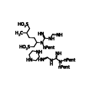 C1CNCCN1.CCCCCN(C(=N)NC=N)C(CCC(C)CS(=O)(=O)O)CS(=O)(=O)O.CCCCCN(CCCCC)C(=N)NC=N